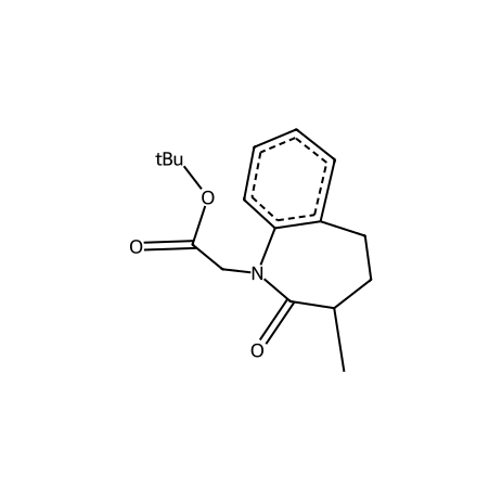 CC1CCc2ccccc2N(CC(=O)OC(C)(C)C)C1=O